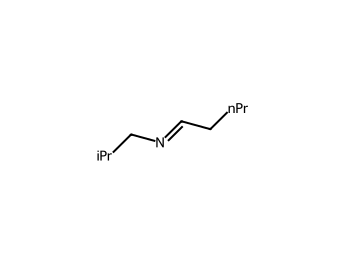 [CH2]CCCC=NCC(C)C